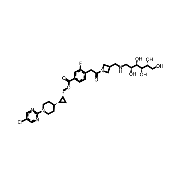 O=C(OC[C@@H]1C[C@@H]1C1CCN(c2ncc(Cl)cn2)CC1)c1ccc(CC(=O)N2CC(CNC[C@H](O)[C@@H](O)[C@H](O)[C@H](O)CO)C2)c(F)c1